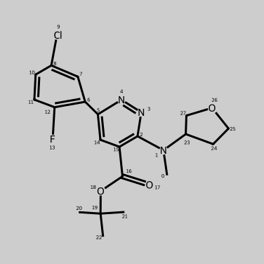 CN(c1nnc(-c2cc(Cl)ccc2F)cc1C(=O)OC(C)(C)C)C1CCOC1